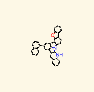 C1=CC2=Cc3c(n4c5ccc6c7ccccc7oc6c5c5cc(-c6cccc7ccccc67)cc3c54)NC2C=C1